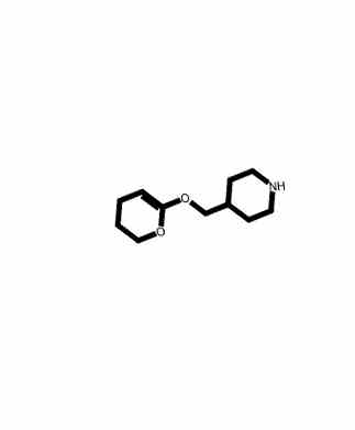 C1=C(OCC2CCNCC2)OCCC1